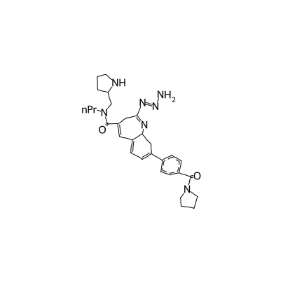 CCCN(CC1CCCN1)C(=O)C1=CC2=CC=C(c3ccc(C(=O)N4CCCC4)cc3)CC2N=C(N=NN)C1